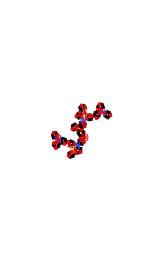 c1ccc(-n2c3ccccc3c3cc(-c4ccc(N(c5ccc6oc7cc8c9ccc(N(c%10ccc(-c%11ccc%12c(c%11)c%11ccccc%11n%12-c%11ccccc%11)cc%10)c%10cccc%11c%10sc%10ccccc%10%11)cc9c9ccccc9c8cc7c6c5)c5cccc6c5sc5ccccc56)cc4)ccc32)cc1